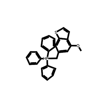 COc1cc(C[PH](c2ccccc2)(c2ccccc2)c2ccccc2)cc2sccc12